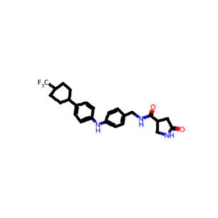 O=C1CC(C(=O)NCc2ccc(Nc3ccc(C4CCC(C(F)(F)F)CC4)cc3)cc2)CN1